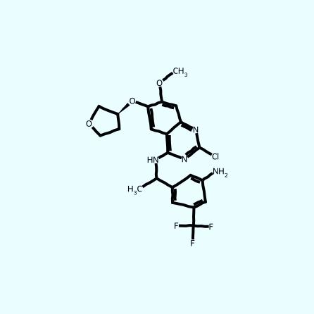 COc1cc2nc(Cl)nc(NC(C)c3cc(N)cc(C(F)(F)F)c3)c2cc1O[C@H]1CCOC1